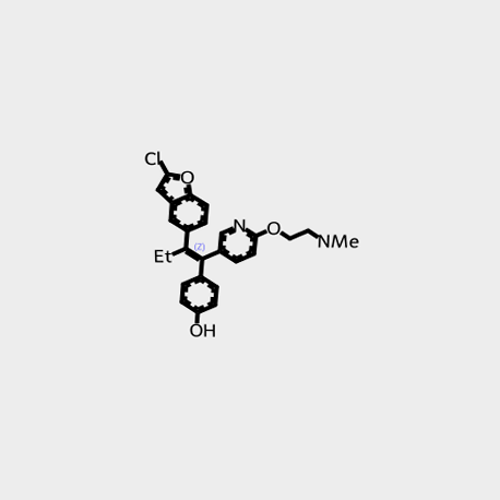 CC/C(=C(\c1ccc(O)cc1)c1ccc(OCCNC)nc1)c1ccc2oc(Cl)cc2c1